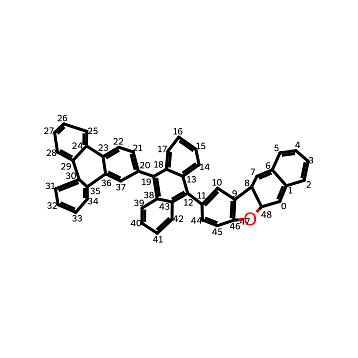 C1=c2ccccc2=CC2c3cc(-c4c5ccccc5c(-c5ccc6c7ccccc7c7ccccc7c6c5)c5ccccc45)ccc3OC12